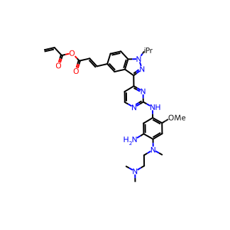 C=CC(=O)OC(=O)/C=C/c1ccc2c(c1)c(-c1ccnc(Nc3cc(N)c(N(C)CCN(C)C)cc3OC)n1)nn2C(C)C